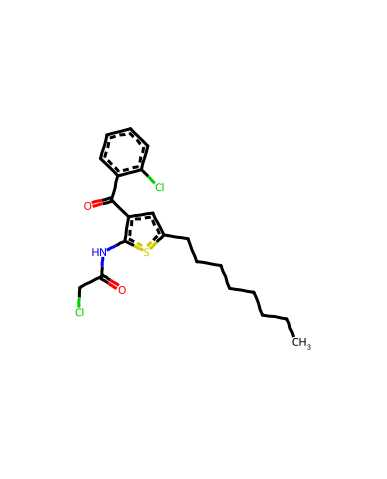 CCCCCCCCc1cc(C(=O)c2ccccc2Cl)c(NC(=O)CCl)s1